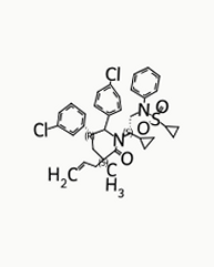 C=CC[C@@]1(C)C[C@H](c2cccc(Cl)c2)C(c2ccc(Cl)cc2)N([C@H](CN(c2ccccc2)S(=O)(=O)C2CC2)C2CC2)C1=O